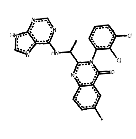 CC(Nc1ncnc2[nH]cnc12)c1nc2ccc(F)cc2c(=O)n1-c1cccc(Cl)c1Cl